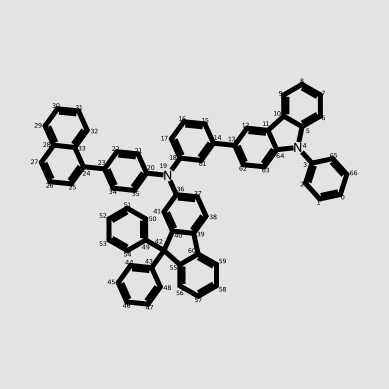 c1ccc(-n2c3ccccc3c3cc(-c4cccc(N(c5ccc(-c6cccc7ccccc67)cc5)c5ccc6c(c5)C(c5ccccc5)(c5ccccc5)c5ccccc5-6)c4)ccc32)cc1